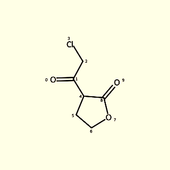 O=C(CCl)C1CCOC1=O